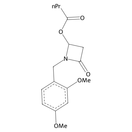 CCCC(=O)OC1CC(=O)N1Cc1ccc(OC)cc1OC